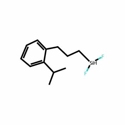 CC(C)c1ccccc1CCC[SiH](F)F